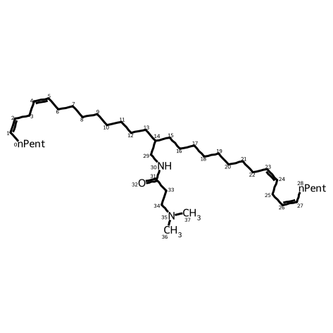 CCCCC/C=C\C/C=C\CCCCCCCCC(CCCCCCCC/C=C\C/C=C\CCCCC)CNC(=O)CCN(C)C